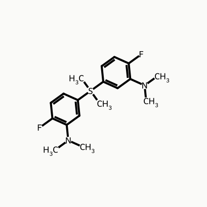 CN(C)c1cc(S(C)(C)c2ccc(F)c(N(C)C)c2)ccc1F